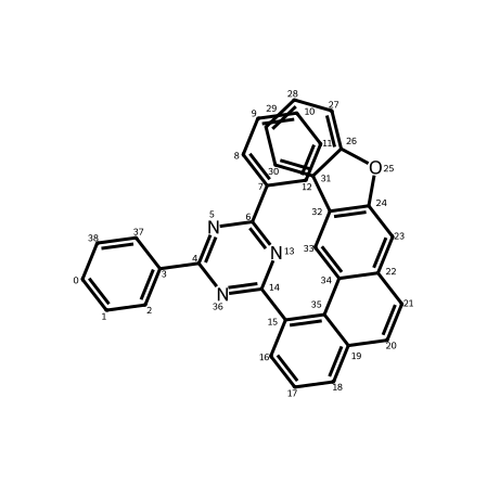 c1ccc(-c2nc(-c3ccccc3)nc(-c3cccc4ccc5cc6oc7ccccc7c6cc5c34)n2)cc1